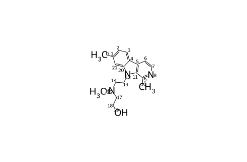 Cc1ccc2c3ccnc(C)c3n(CCN(C)CCO)c2c1